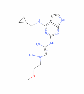 COCCN(N)/C=C(\N)Nc1nc(NCC2CC2)c2cc[nH]c2n1